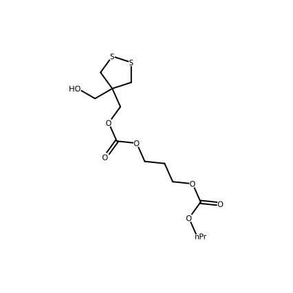 CCCOC(=O)OCCCOC(=O)OCC1(CO)CSSC1